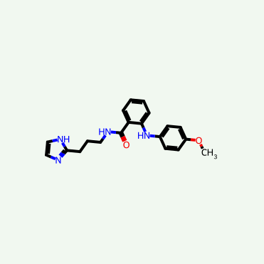 COc1ccc(Nc2ccccc2C(=O)NCCCc2ncc[nH]2)cc1